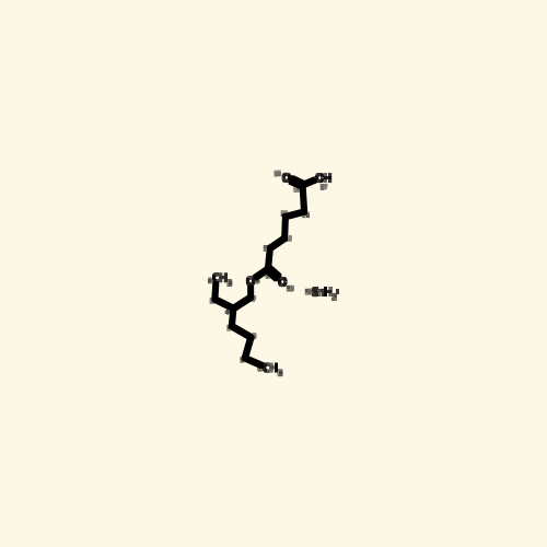 CCCCC(CC)COC(=O)CCCCC(=O)O.[SnH2]